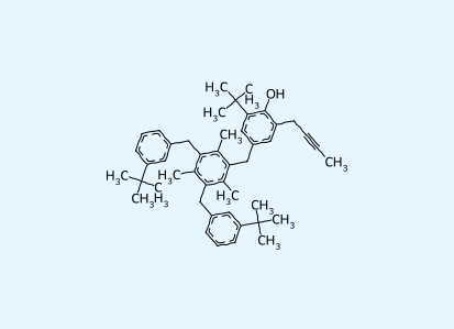 CC#CCc1cc(Cc2c(C)c(Cc3cccc(C(C)(C)C)c3)c(C)c(Cc3cccc(C(C)(C)C)c3)c2C)cc(C(C)(C)C)c1O